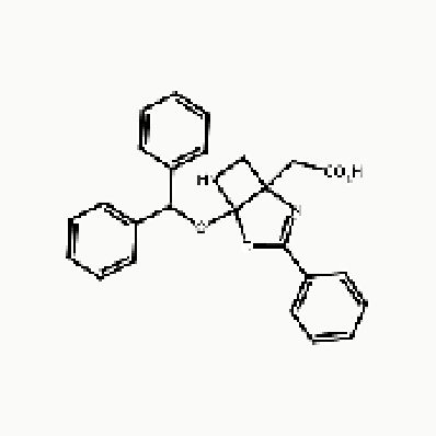 O=C(O)CC12CNC1(OC(c1ccccc1)c1ccccc1)OC(c1ccccc1)=N2